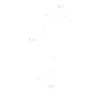 COC(C)OCOCCc1cc(S(N)(=O)=O)sc1SC